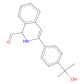 CC(C)(O)c1ccc(C2=Cc3ccccc3C(C=O)N2)cc1